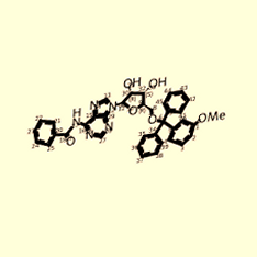 COc1cccc(C(OC[C@H]2O[C@@H](n3cnc4c(NC(=O)c5ccccc5)ncnc43)[C@H](O)[C@@H]2O)(c2ccccc2)c2ccccc2)c1